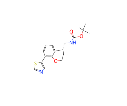 CC(C)(C)OC(=O)NC[C@@H]1CCOc2c(-c3cncs3)cccc21